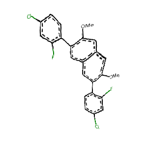 COc1cc2cc(OC)c(-c3ccc(Cl)cc3F)cc2cc1-c1ccc(Cl)cc1F